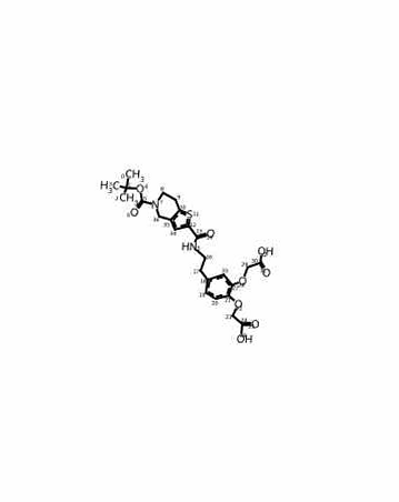 CC(C)(C)OC(=O)N1CCc2sc(C(=O)NCCc3ccc(OCC(=O)O)c(OCC(=O)O)c3)cc2C1